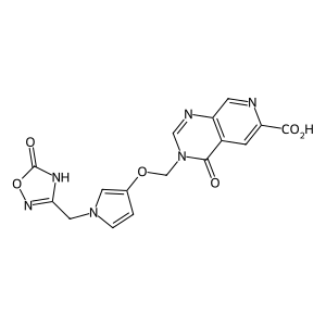 O=C(O)c1cc2c(=O)n(COc3ccn(Cc4noc(=O)[nH]4)c3)cnc2cn1